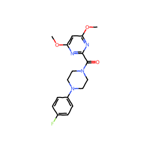 COc1cc(OC)nc(C(=O)N2CCN(c3ccc(F)cc3)CC2)n1